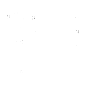 CCN(CC)C(=O)c1ccc(-c2cc(NCCCN3CCCCC3)c3cnsc3n2)cc1